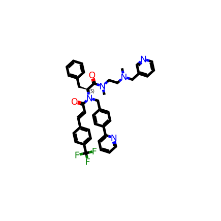 CN(CCN(C)C(=O)[C@H](Cc1ccccc1)N(Cc1ccc(-c2ccccn2)cc1)C(=O)C=Cc1ccc(C(F)(F)F)cc1)Cc1cccnc1